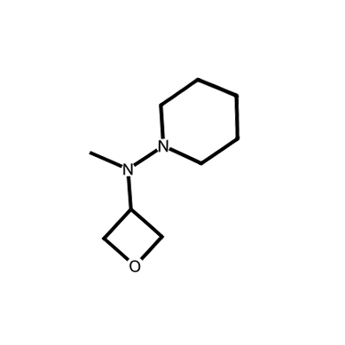 CN(C1COC1)N1CCCCC1